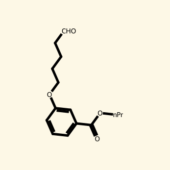 CCCOC(=O)c1cccc(OCCCCC=O)c1